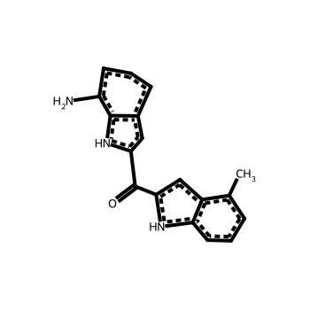 Cc1cccc2[nH]c(C(=O)c3cc4cccc(N)c4[nH]3)cc12